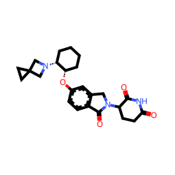 O=C1CCC(N2Cc3cc(O[C@H]4CCCC[C@H]4N4CC5(CC5)C4)ccc3C2=O)C(=O)N1